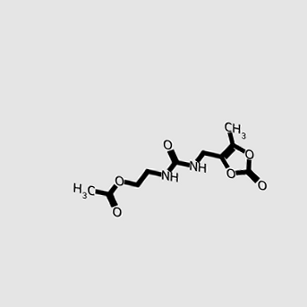 CC(=O)OCCNC(=O)NCc1oc(=O)oc1C